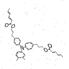 C/C=C/C=C/C(=O)OCCCc1ccc(N(c2ccc(CCCOC(=O)/C=C/C=C/C)cc2)c2ccc(C)c(C)c2)cc1